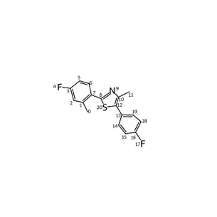 Cc1cc(F)ccc1-c1nc(C)c(-c2ccc(F)cc2)s1